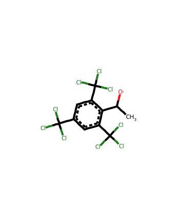 CC([O])c1c(C(Cl)(Cl)Cl)cc(C(Cl)(Cl)Cl)cc1C(Cl)(Cl)Cl